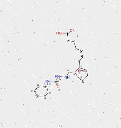 O=C(O)CCC/C=C\C[C@H]1C2CCC(O2)[C@@H]1CNNC(=O)Nc1ccccc1